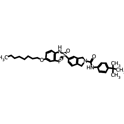 CCCCCCCCOc1ccc(NS(=O)(=O)c2ccc3c(c2)CN(C(=O)Nc2ccc(C(C)(C)C)cc2)C3)c(F)c1